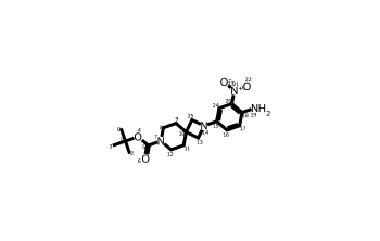 CC(C)(C)OC(=O)N1CCC2(CC1)CN(c1ccc(N)c([N+](=O)[O-])c1)C2